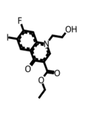 CCOC(=O)c1cn(CCO)c2cc(F)c(I)cc2c1=O